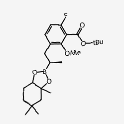 COc1c(C[C@@H](C)B2OC3CCC(C)(C)CC3(C)O2)ccc(F)c1C(=O)OC(C)(C)C